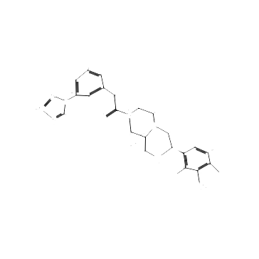 Cc1c([C@@H]2CN3CCN(C(=O)Cc4cccc(-n5cnnn5)c4)C[C@@H]3CO2)ccc(F)c1C#N